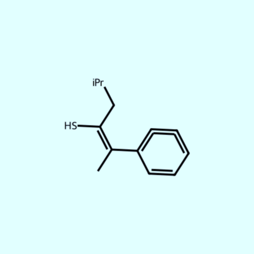 C/C(C1=C=C=CC=C1)=C(\S)CC(C)C